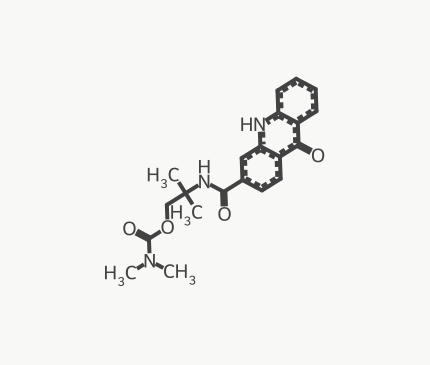 CN(C)C(=O)OCC(C)(C)NC(=O)c1ccc2c(=O)c3ccccc3[nH]c2c1